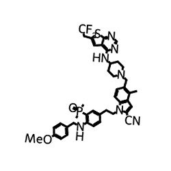 COc1ccc(CNc2ccc(CCn3c(C#N)cc4c(C)c(CN5CCC(Nc6ncnc7sc(CC(F)(F)F)cc67)CC5)ccc43)cc2P(C)(C)=O)cc1